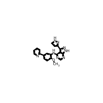 COc1ccc(-c2ccccn2)cc1Nc1ncnc2[nH]nc(-c3cc[nH]n3)c12